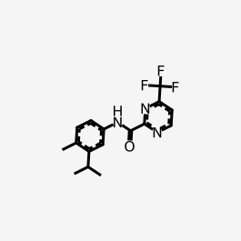 Cc1ccc(NC(=O)c2nccc(C(F)(F)F)n2)cc1C(C)C